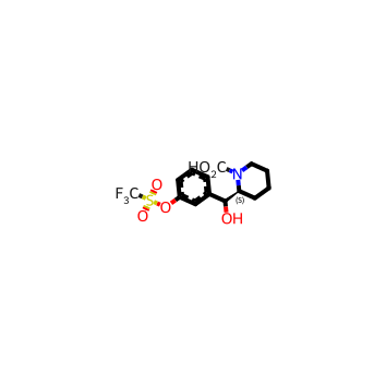 O=C(O)N1CCCC[C@H]1C(O)c1cccc(OS(=O)(=O)C(F)(F)F)c1